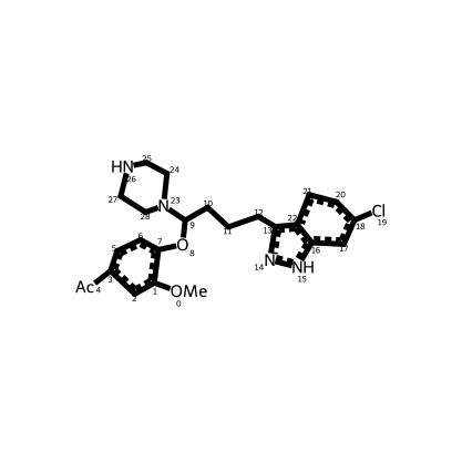 COc1cc(C(C)=O)ccc1OC(CCCc1n[nH]c2cc(Cl)ccc12)N1CCNCC1